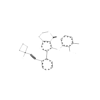 COc1c(Cl)cccc1Nc1c(-c2ccncc2C#CC2(N)CCC2)[nH]c2c1C(=O)NCC2